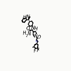 Cc1cc(/C=C/C(=O)N2CCC(C(N[C@H]3CC[C@H](c4c[nH]c5ccccc54)CC3)C(N)=O)CC2)cc(F)c1F